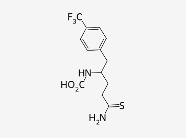 NC(=S)CCC(Cc1ccc(C(F)(F)F)cc1)NC(=O)O